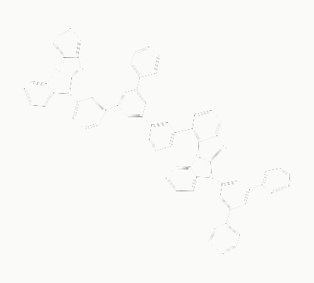 c1ccc(-c2cc(-c3cccc(-c4cccc5nc6n(-c7cc(-c8ccccc8)cc(-c8ccccc8)c7)c7ccccc7n6c45)c3)cc(-c3cccc(-n4c5ccccc5n5c6ccccc6nc45)c3)c2)cc1